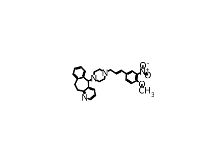 COc1ccc(C=CCN2CCN(C3c4ccccc4CCc4ncccc43)CC2)cc1[N+](=O)[O-]